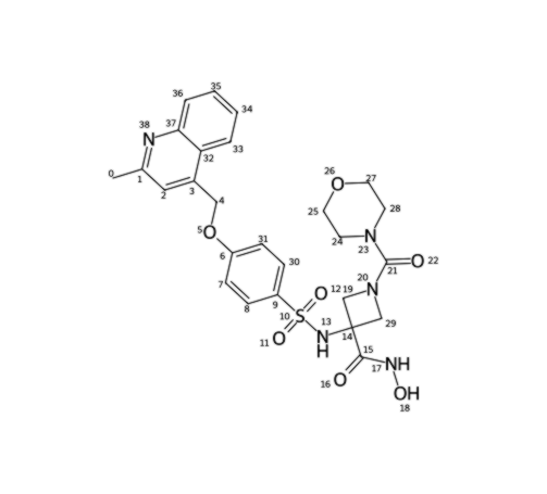 Cc1cc(COc2ccc(S(=O)(=O)NC3(C(=O)NO)CN(C(=O)N4CCOCC4)C3)cc2)c2ccccc2n1